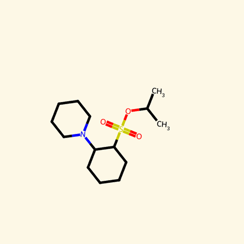 CC(C)OS(=O)(=O)C1CCCCC1N1CCCCC1